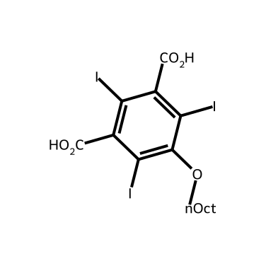 CCCCCCCCOc1c(I)c(C(=O)O)c(I)c(C(=O)O)c1I